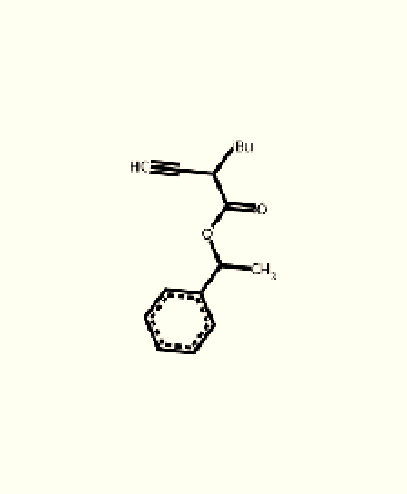 C#CC(C(=O)OC(C)c1ccccc1)C(C)CC